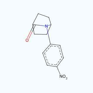 O=C1C2CCC(CC2)N1c1ccc([N+](=O)[O-])cc1